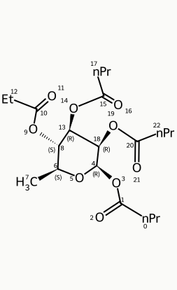 CCCC(=O)O[C@H]1O[C@@H](C)[C@H](OC(=O)CC)[C@@H](OC(=O)CCC)[C@H]1OC(=O)CCC